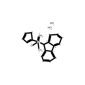 Cl.Cl.[CH3][Hf](=[SiH2])([Cl])([C]1=CC=CC1)[CH]1c2ccccc2-c2ccccc21